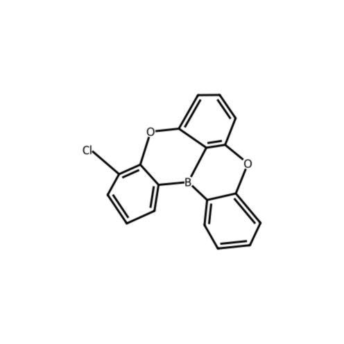 Clc1cccc2c1Oc1cccc3c1B2c1ccccc1O3